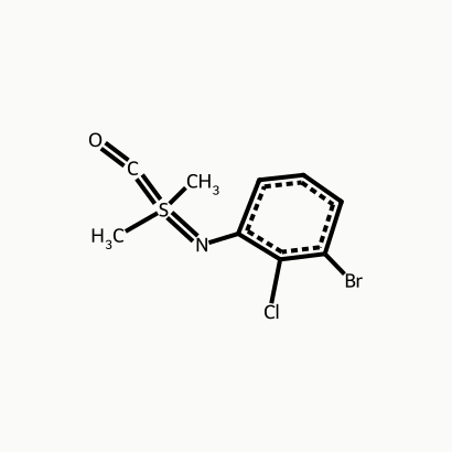 CS(C)(=C=O)=Nc1cccc(Br)c1Cl